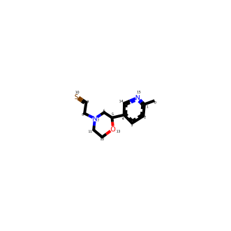 Cc1ccc(C2CN(CC=S)CCO2)cn1